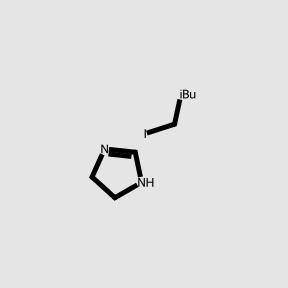 C1=NCCN1.CCC(C)CI